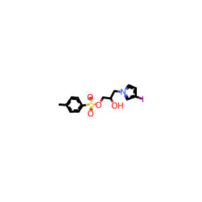 Cc1ccc(S(=O)(=O)OCC(O)Cn2ccc(I)c2)cc1